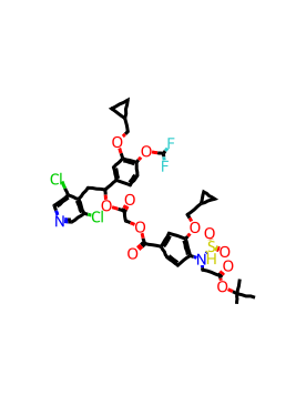 CC(C)(C)OC(=O)CN(c1ccc(C(=O)OCC(=O)OC(Cc2c(Cl)cncc2Cl)c2ccc(OC(F)F)c(OCC3CC3)c2)cc1OCC1CC1)[SH](=O)=O